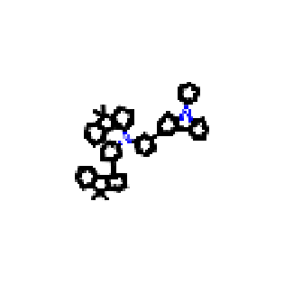 CC1(C)c2ccccc2-c2c(-c3cccc(N(c4cccc(-c5ccc6c(c5)c5ccccc5n6-c5ccccc5)c4)c4cccc5c4-c4ccccc4C5(C)C)c3)cccc21